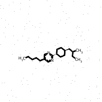 CCCCCc1cnc([C@H]2CC[C@H](CC(C)CC)CC2)nc1